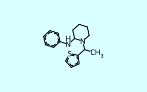 CC(c1cccs1)N1CCCCC1Nc1ccccc1